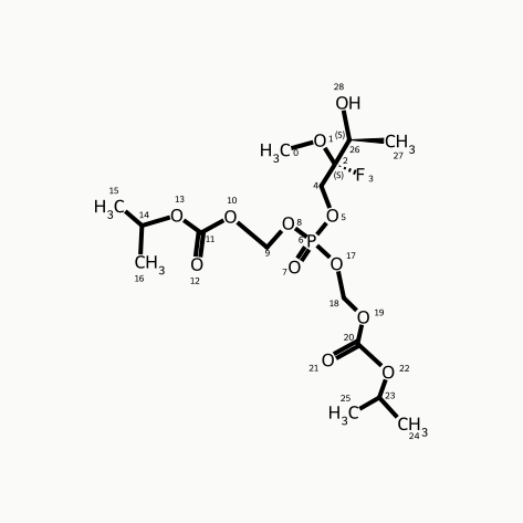 CO[C@](F)(COP(=O)(OCOC(=O)OC(C)C)OCOC(=O)OC(C)C)[C@H](C)O